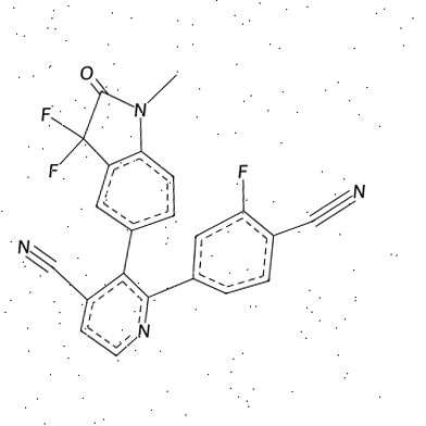 CN1C(=O)C(F)(F)c2cc(-c3c(C#N)ccnc3-c3ccc(C#N)c(F)c3)ccc21